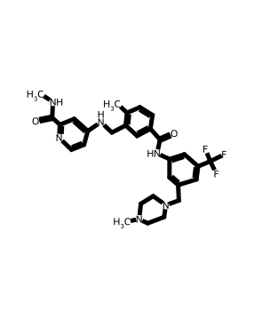 CNC(=O)c1cc(NCc2cc(C(=O)Nc3cc(CN4CCN(C)CC4)cc(C(F)(F)F)c3)ccc2C)ccn1